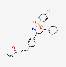 COC(=O)CCCc1ccc(C(CCc2ccccc2)NS(=O)(=O)c2ccc(Cl)cc2)cc1